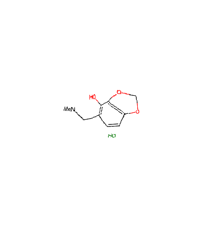 CNCc1ccc2c(c1O)OCO2.Cl